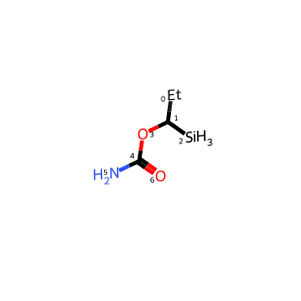 CCC([SiH3])OC(N)=O